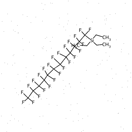 CC[Si](CC)(CC)C(F)(F)C(F)(F)C(F)(F)C(F)(F)C(F)(F)C(F)(F)C(F)(F)C(F)(F)C(F)(F)C(F)(F)C(F)(F)C(F)(F)F